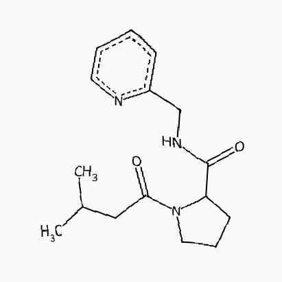 CC(C)CC(=O)N1CCCC1C(=O)NCc1ccccn1